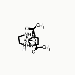 CC(=O)[O][Pd]12([O]C(C)=O)([NH]CC[NH]1)[NH]CC[NH]2